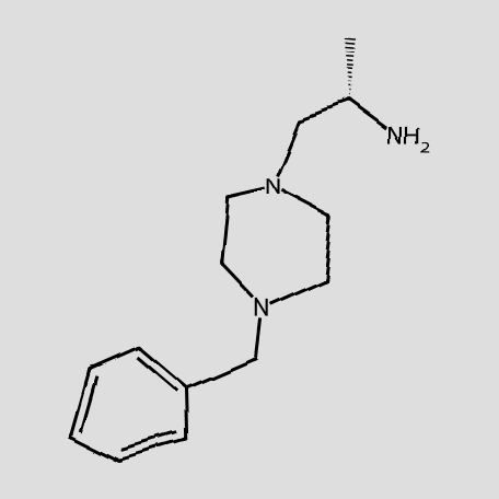 C[C@H](N)CN1CCN(Cc2ccccc2)CC1